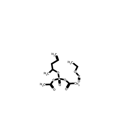 C=CCC(C)OP(=O)(OC(C)=O)OC(C)=O.CCOP=O